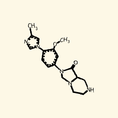 COc1cc(N2CN3CCNCC3C2=O)ccc1-n1cnc(C)c1